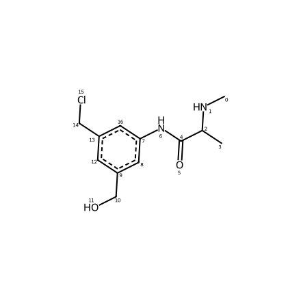 CNC(C)C(=O)Nc1cc(CO)cc(CCl)c1